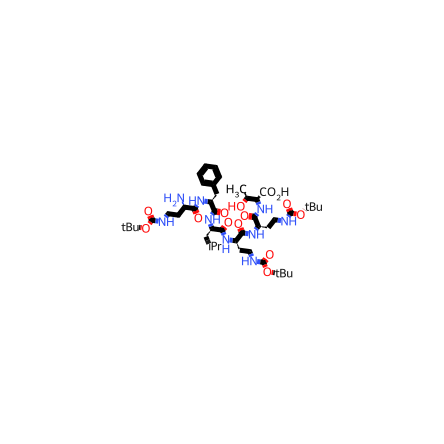 CC(C)C[C@H](NC(=O)[C@@H](Cc1ccccc1)NC(=O)[C@@H](N)CCNC(=O)OC(C)(C)C)C(=O)N[C@@H](CCNC(=O)OC(C)(C)C)C(=O)N[C@@H](CCNC(=O)OC(C)(C)C)C(=O)N[C@H](C(=O)O)[C@@H](C)O